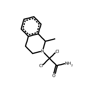 CC1c2ccccc2CCN1C(Cl)(Cl)C(N)=O